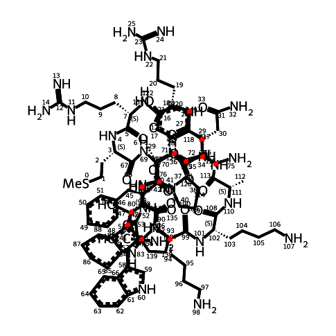 CSCC[C@H](NC(=O)[C@H](CCCNC(=N)N)NC(=O)[C@H](CCCNC(=N)N)NC(=O)[C@H](CC(N)=O)NC(=O)[C@@H]1CCCN1C(=O)[C@H](Cc1ccccc1)NC(=O)[C@@H](N)Cc1c[nH]c2ccccc12)C(=O)N[C@@H](CCCCN)C(=O)N[C@@H](Cc1c[nH]c2ccccc12)C(=O)N[C@@H](CCCCN)C(=O)N[C@@H](CCCCN)C(=O)N[C@@H](C)C(=O)N[C@@H](Cc1ccc(O)cc1)C(=O)N[C@@H](C)C(=O)N[C@H](C(=O)N1CCC[C@H]1C(=O)O)[C@@H](C)O